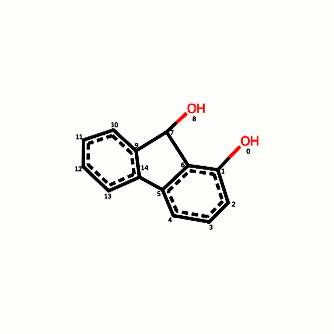 Oc1cccc2c1C(O)c1ccccc1-2